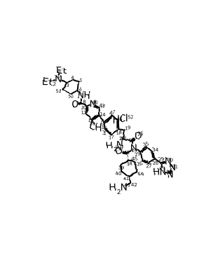 CCN(CC)C1CCC(NC(=O)c2cc(C)c(-c3ccc(C[C@H](N)C(=O)N(c4ccc(-c5nnn[nH]5)cc4)C(=O)[C@H]4CC[C@H](CN)CC4)cc3)cn2)CC1.Cl